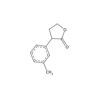 Cc1cccc(C2CCOC2=O)c1